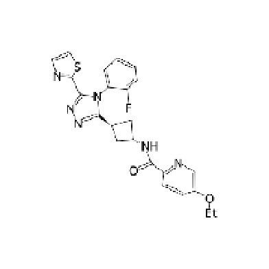 CCOc1ccc(C(=O)N[C@H]2C[C@H](c3nnc(-c4nccs4)n3-c3ccccc3F)C2)nc1